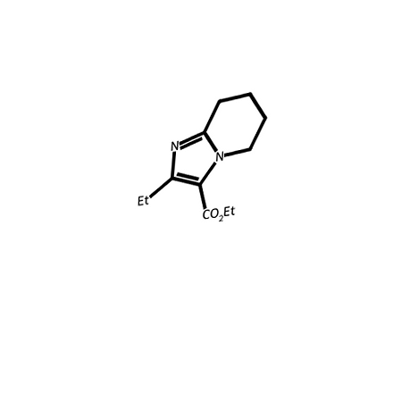 CCOC(=O)c1c(CC)nc2n1CCCC2